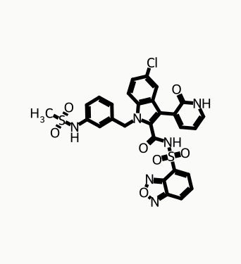 CS(=O)(=O)Nc1cccc(Cn2c(C(=O)NS(=O)(=O)c3cccc4nonc34)c(-c3ccc[nH]c3=O)c3cc(Cl)ccc32)c1